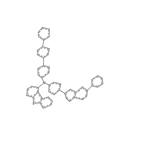 c1ccc(-c2ccc(-c3ccc(N(c4ccc(-c5ccc6ccc(-c7ccccc7)cc6c5)cc4)c4cccc5sc6ccccc6c45)cc3)cc2)cc1